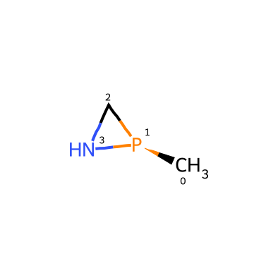 C[P@]1CN1